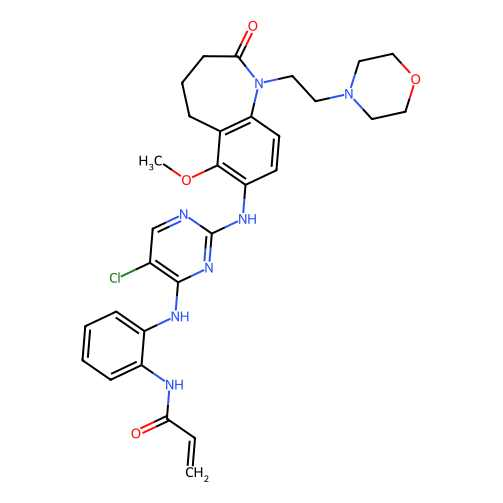 C=CC(=O)Nc1ccccc1Nc1nc(Nc2ccc3c(c2OC)CCCC(=O)N3CCN2CCOCC2)ncc1Cl